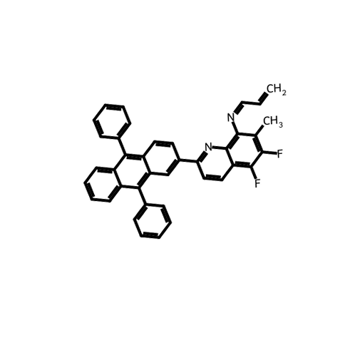 C=C/C=N\c1c(C)c(F)c(F)c2ccc(-c3ccc4c(-c5ccccc5)c5ccccc5c(-c5ccccc5)c4c3)nc12